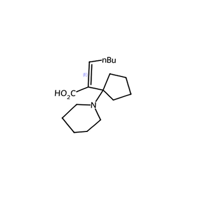 CCCC/C=C(/C(=O)O)C1(N2CCCCC2)CCCC1